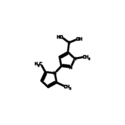 Cc1ccc(C)n1-c1cc(B(O)O)n(C)n1